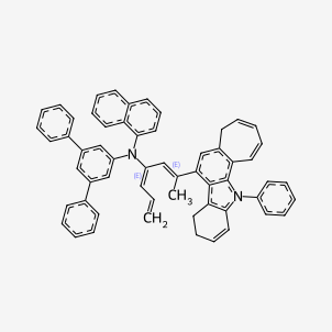 C=C/C=C(\C=C(/C)c1cc2c(c3c1c1c(n3-c3ccccc3)C=CCC1)C=CC=CC2)N(c1cc(-c2ccccc2)cc(-c2ccccc2)c1)c1cccc2ccccc12